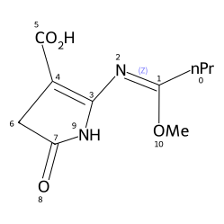 CCC/C(=N/C1=C(C(=O)O)CC(=O)N1)OC